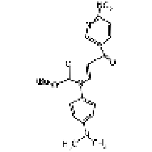 CN(C)c1ccc(N(C=CC(=O)c2ccc([N+](=O)[O-])nc2)C(=O)OC(C)(C)C)cc1